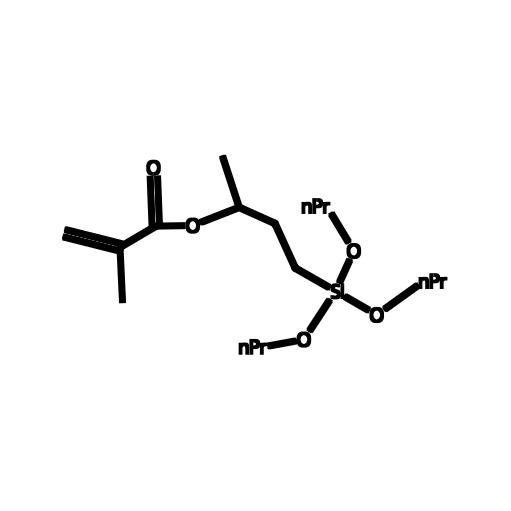 C=C(C)C(=O)OC(C)CC[Si](OCCC)(OCCC)OCCC